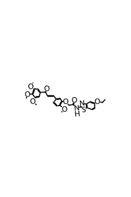 CCOc1ccc2sc(NC(=O)COc3cc(/C=C/C(=O)c4cc(OC)c(OC)c(OC)c4)ccc3OC)nc2c1